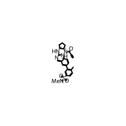 C#CC(=O)N[C@H]1CCC[C@H]1Nc1ncc2cc(-c3cc(S(=O)(=O)NC)ccc3C)ccc2n1